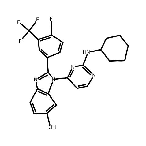 Oc1ccc2nc(-c3ccc(F)c(C(F)(F)F)c3)n(-c3ccnc(NC4CCCCC4)n3)c2c1